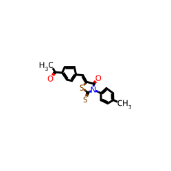 CC(=O)c1ccc(/C=C2\SC(=S)N(c3ccc(C)cc3)C2=O)cc1